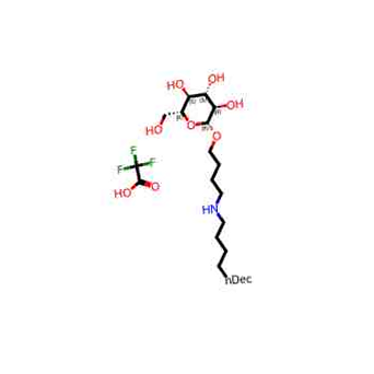 CCCCCCCCCCCCCCNCCCCO[C@@H]1O[C@H](CO)[C@@H](O)[C@H](O)[C@H]1O.O=C(O)C(F)(F)F